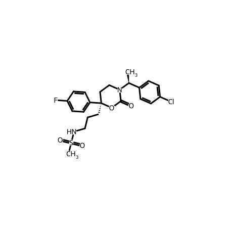 C[C@@H](c1ccc(Cl)cc1)N1CC[C@](CCCNS(C)(=O)=O)(c2ccc(F)cc2)OC1=O